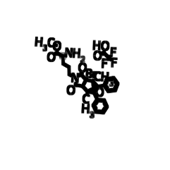 COC(=O)[C@@H](N)CCCN1C(=O)C2C3(C)C(=O)C(C)(C(c4ccccc4)=C3c3ccccc3)C2(Br)C1=O.O=C(O)C(F)(F)F